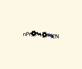 CCCc1ccc(CCCC[C@H]2CC[C@H](/C=C/C=C/C#N)CC2)cc1